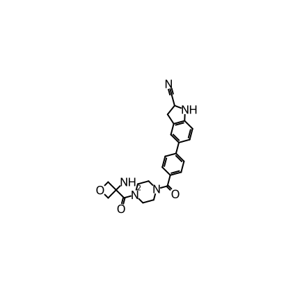 N#CC1Cc2cc(-c3ccc(C(=O)N4CCN(C(=O)C5(N)COC5)CC4)cc3)ccc2N1